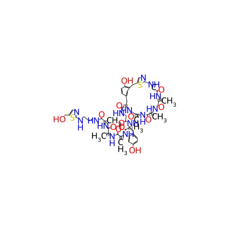 C[C@@H]1NC(=O)CNc2ncc(s2)Cc2cc(ccc2O)C[C@@H](C(=O)NCC(=O)N[C@@H](Cc2ccc(O)cc2)C(=O)N[C@@H](C)C(=O)N[C@@H](C)C(=O)N[C@@H](C)C(=O)NCCCNc2ncc(CO)s2)NC(=O)[C@H](C)NC(=O)[C@H](C)NC1=O